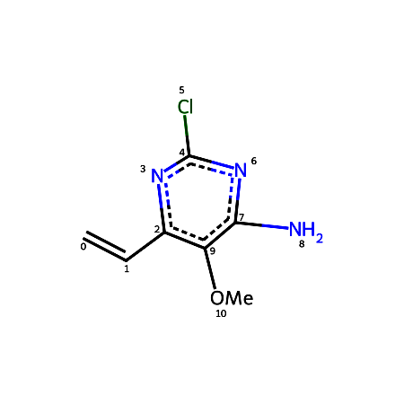 C=Cc1nc(Cl)nc(N)c1OC